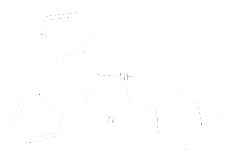 CC1(C)CCC(c2nc(-c3ccccc3)c(-c3ccccc3)[nH]2)CC1